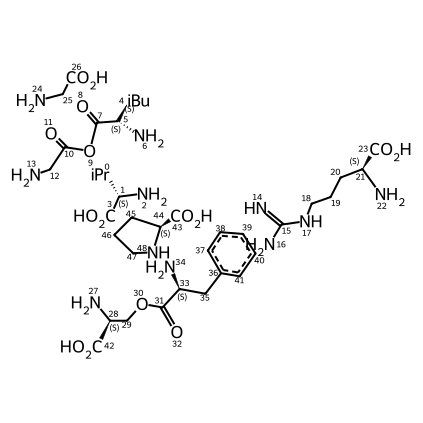 CC(C)[C@H](N)C(=O)O.CC[C@H](C)[C@H](N)C(=O)OC(=O)CN.N=C(N)NCCC[C@H](N)C(=O)O.NCC(=O)O.N[C@@H](COC(=O)[C@@H](N)Cc1ccccc1)C(=O)O.O=C(O)[C@@H]1CCCN1